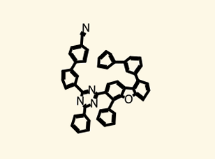 N#Cc1ccc(-c2cccc(-c3nc(-c4ccccc4)nc(-c4ccc5c(oc6cccc(-c7cccc(-c8ccccc8)c7)c65)c4-c4ccccc4)n3)c2)cc1